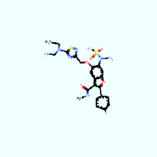 CCN(CC)c1nc(COc2cc3c(C(=O)NC)c(-c4ccc(F)cc4)oc3cc2N(C)S(C)(=O)=O)ns1